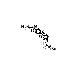 CCCCOC(=O)NCc1ccc(S(=O)(=O)c2ccc(S(=O)(=O)CCN)cc2)s1